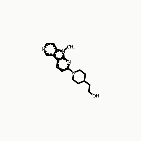 Cn1c2ccncc2c2ccc(N3CCC(CCO)CC3)nc21